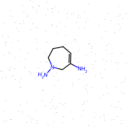 NC1=CCCCN(N)C1